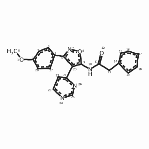 COc1ccc(-c2noc(NC(=O)Cc3ccccc3)c2-c2ccncn2)cc1